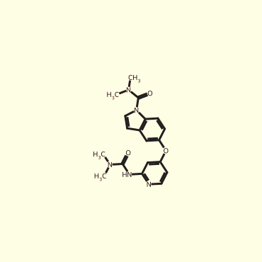 CN(C)C(=O)Nc1cc(Oc2ccc3c(ccn3C(=O)N(C)C)c2)ccn1